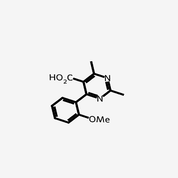 COc1ccccc1-c1nc(C)nc(C)c1C(=O)O